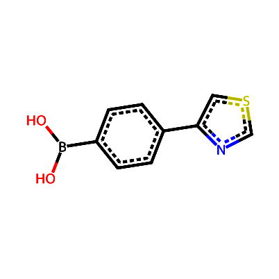 OB(O)c1ccc(-c2cscn2)cc1